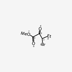 CCC(Br)C(=O)C(=O)OC